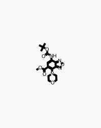 COC(=O)c1cc(NC(=O)OC(C)(C)C)c2nonc2c1N1CCOCC1